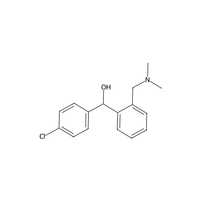 CN(C)Cc1ccccc1C(O)c1ccc(Cl)cc1